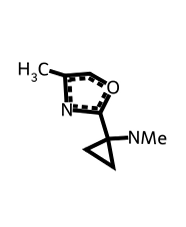 CNC1(c2nc(C)co2)CC1